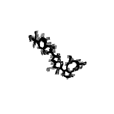 C[C@@H](NC(=O)c1ncnc2c1CN(C)CC(=O)N2)c1cc(-c2nc3ccc(C(F)(F)F)cc3[nH]2)no1